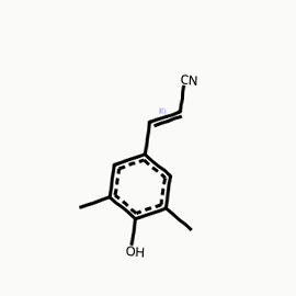 Cc1cc(/C=C/C#N)cc(C)c1O